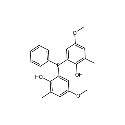 COc1cc(C)c(O)c(P(c2ccccc2)c2cc(OC)cc(C)c2O)c1